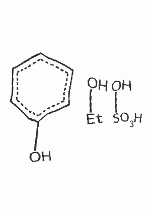 CCO.O=S(=O)(O)O.Oc1ccccc1